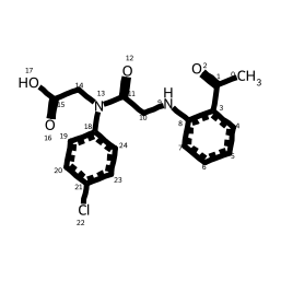 CC(=O)c1ccccc1NCC(=O)N(CC(=O)O)c1ccc(Cl)cc1